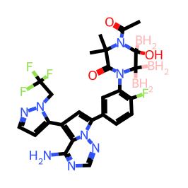 BC1(B)N(c2cc(-c3cc(-c4ccnn4CC(F)(F)F)c4c(N)ncnn34)ccc2F)C(=O)C(C)(C)N(C(C)=O)C1(B)O